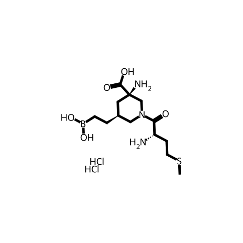 CSCC[C@H](N)C(=O)N1C[C@@H](CCB(O)O)C[C@](N)(C(=O)O)C1.Cl.Cl